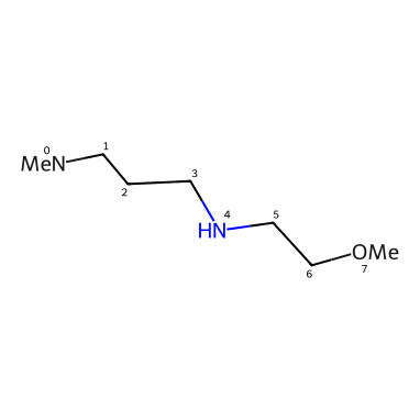 CNCCCNCCOC